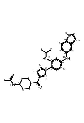 CC(=O)NC1CCN(C(=O)c2nnc(-c3cnc(Nc4ccc5ncsc5c4)cc3NC(C)C)o2)CC1